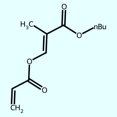 C=CC(=O)OC=C(C)C(=O)OCCCC